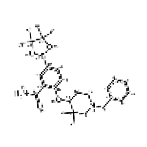 CC1(C)CN(Cc2ccccc2)CCC1Oc1ccc(B2OC(C)(C)C(C)(C)O2)cc1C(N)=O